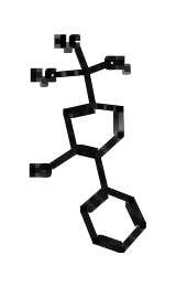 CC(C)(C)c1ccc(-c2ccccc2)c(O)c1